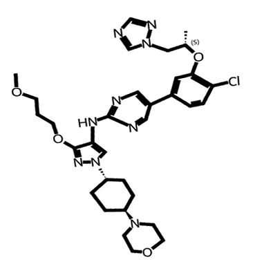 COCCCOc1nn([C@H]2CC[C@H](N3CCOCC3)CC2)cc1Nc1ncc(-c2ccc(Cl)c(O[C@@H](C)Cn3cncn3)c2)cn1